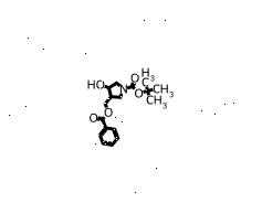 CC(C)(C)OC(=O)N1CC(O)C(COC(=O)c2ccccc2)C1